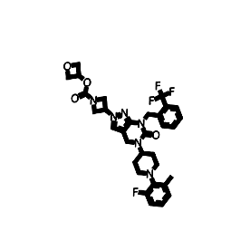 Cc1cccc(F)c1N1CCC(N2Cc3cn(C4CN(C(=O)OC5COC5)C4)nc3N(Cc3ccccc3C(F)(F)F)C2=O)CC1